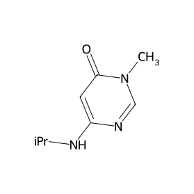 CC(C)Nc1cc(=O)n(C)cn1